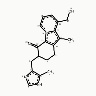 Cc1[nH]cnc1CC1CCc2c(C)c3c(CO)cccn3c2C1=O